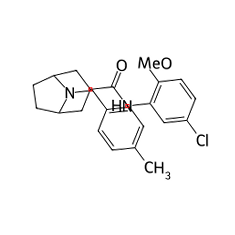 COc1ccc(Cl)cc1NC(=O)C1CC2CCC(C1)N2Cc1ccc(C)cc1